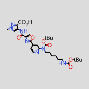 Cn1cc(NC(=O)c2coc(-c3ccnc(N(CCCCCCNC(=O)OC(C)(C)C)C(=O)OC(C)(C)C)c3)n2)c(C(=O)O)n1